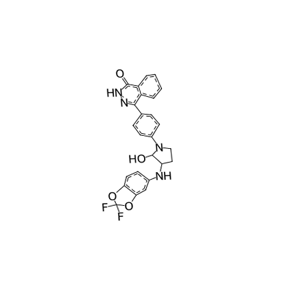 O=c1[nH]nc(-c2ccc(N3CCC(Nc4ccc5c(c4)OC(F)(F)O5)C3O)cc2)c2ccccc12